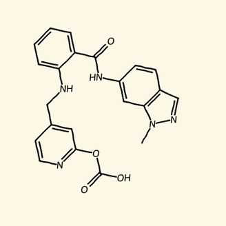 Cn1ncc2ccc(NC(=O)c3ccccc3NCc3ccnc(OC(=O)O)c3)cc21